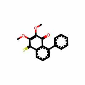 COC1=C(OC)C(=S)c2cccc(-c3ccccc3)c2C1=O